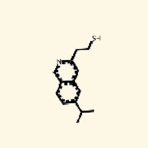 CC(C)c1ccc2cnc(CCS)cc2c1